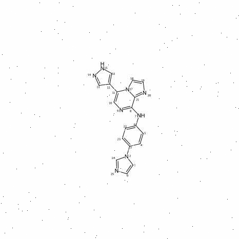 c1cn(-c2ccc(Nc3ncc(-c4cn[nH]c4)n4ccnc34)cc2)cn1